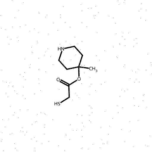 CC1(OC(=O)CS)CCNCC1